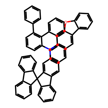 c1ccc(-c2ccccc2-c2c(-c3ccccc3)cccc2N(c2ccc3c(c2)C2(c4ccccc4-c4ccccc42)c2ccccc2-3)c2ccc3c(c2)oc2ccccc23)cc1